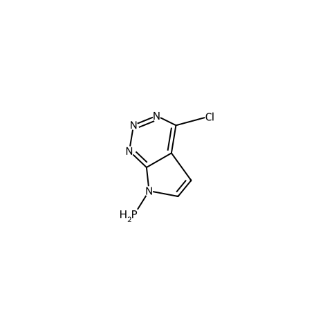 Pn1ccc2c(Cl)nnnc21